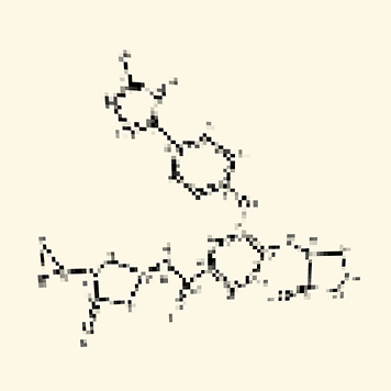 Cc1noc(-c2ccc(Oc3cc(C(=O)N[C@H]4CC(=O)N(C5CC5)C4)ccc3CN3CCCC3=O)cn2)n1